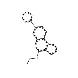 FC(F)(F)CNc1nc2cc(-c3nnn[nH]3)ccc2c2sccc12